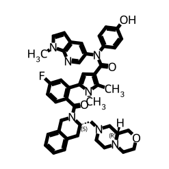 Cc1c(C(=O)N(c2ccc(O)cc2)c2cnc3c(ccn3C)c2)cc(-c2cc(F)ccc2C(=O)N2Cc3ccccc3C[C@H]2CN2CCN3CCOC[C@H]3C2)n1C